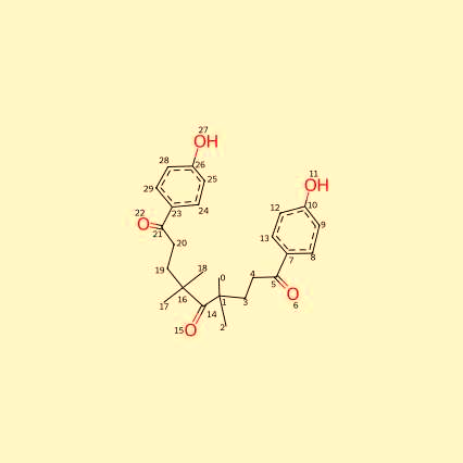 CC(C)(CCC(=O)c1ccc(O)cc1)C(=O)C(C)(C)CCC(=O)c1ccc(O)cc1